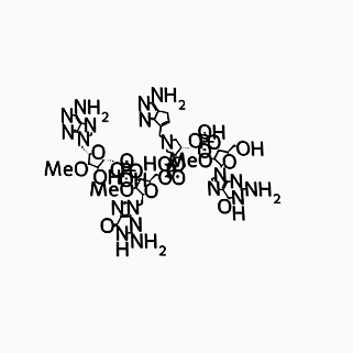 CO[C@H]1C(O)[C@@H](COP(=O)(O)OC2[C@@H](COP(=O)(O)OC3CN(CC4=CCc5c(N)ncnc54)C[C@@H]3COP(=O)(O)OC3[C@@H](CO)O[C@@H](n4cnc5c(=O)[nH]c(N)nc54)[C@H]3OC)O[C@@H](Cn3cnc4c(=O)[nH]c(N)nc43)[C@H]2OC)O[C@H]1Cn1cnc2c(N)ncnc21